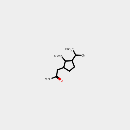 CCCCCC1C(CC(=O)OC)CCC1C(C#N)C(=O)OCC